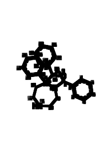 O=C(c1ccccc1)N1CCNCC[N+]1(C(=O)c1ccccc1)c1ccccc1